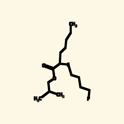 CCCCCC(SCCCCF)C(=O)OCC(C)C